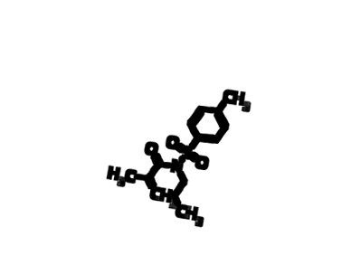 C=C(C)C(=O)N(CCC)S(=O)(=O)c1ccc(C)cc1